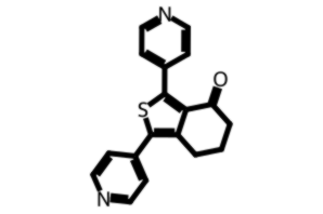 O=C1CCCc2c(-c3ccncc3)sc(-c3ccncc3)c21